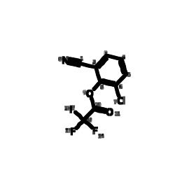 N#Cc1cccc(Cl)c1OC(=O)C(F)(F)F